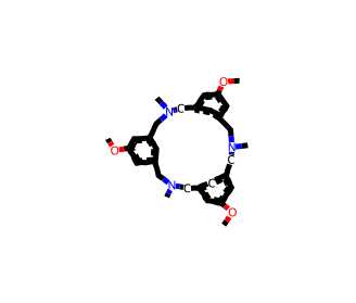 COc1cc2cc(c1)CN(C)Cc1cc(cc(OC)c1)CN(C)Cc1cc(cc(OC)c1)CN(C)C2